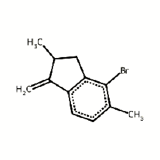 C=C1c2ccc(C)c(Br)c2CC1C